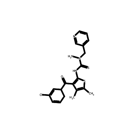 Cc1sc(NC(=S)N(N)Cc2cccnc2)c(C(=O)C2C=C(Cl)C=CC2)c1C